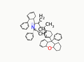 C=C[C@@H](/N=C(\C(=C)C(C)C(C)C1=CC=C(C2(c3ccccc3)C3C=CC=CC3OC3CCCCC32)CC1)C1CC=CC=C1c1ccccc1)c1ccccc1